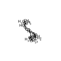 CC(C)(C)OC(=O)NCCCN(CC1CN(C(=O)OC(C)(C)C)C1)c1ccc2cc(OCC(O)C(=O)OC(C)(C)C)ccc2n1